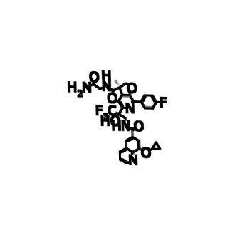 C[C@]1(C(=O)NCC(N)=O)COc2c1cc(C(O)(CNC(=O)c1cc(OC3CC3)c3ncccc3c1)C(F)(F)F)nc2-c1ccc(F)cc1